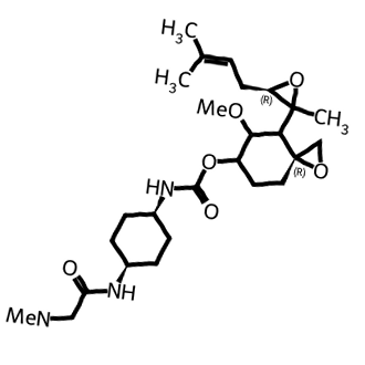 CNCC(=O)N[C@H]1CC[C@@H](NC(=O)OC2CC[C@]3(CO3)C(C3(C)O[C@@H]3CC=C(C)C)C2OC)CC1